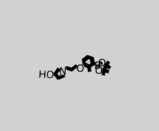 Cc1c(OCCCN2CCC(O)C2)cccc1B1OC(C)(C)C(C)(C)O1